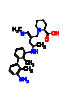 C=N/C=C(\CC(C)Nc1cccc(-c2cccc(N)c2C)c1C)CN1CCCC[C@H]1C(=O)O